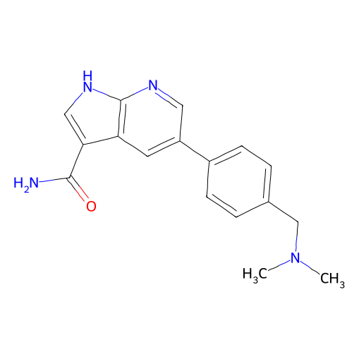 CN(C)Cc1ccc(-c2cnc3[nH]cc(C(N)=O)c3c2)cc1